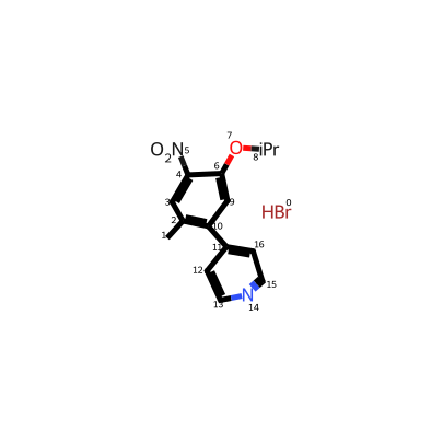 Br.Cc1cc([N+](=O)[O-])c(OC(C)C)cc1-c1ccncc1